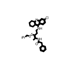 CC(NC(=O)Cc1ccccc1)=C(CCNc1c2c(nc3cc(Cl)ccc13)CCCC2)SSCC(C)C